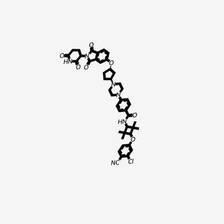 CC1(C)C(NC(=O)c2ccc(N3CCN([C@H]4CC[C@H](Oc5ccc6c(c5)C(=O)N(C5CCC(=O)NC5=O)C6=O)C4)CC3)cc2)C(C)(C)C1Oc1ccc(C#N)c(Cl)c1